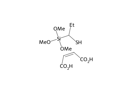 CCC(S)[Si](OC)(OC)OC.O=C(O)/C=C\C(=O)O